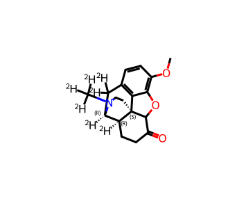 [2H]C([2H])([2H])N1CC[C@]23c4c5ccc(OC)c4OC2C(=O)CC[C@@]3([2H])[C@@]1([2H])C5([2H])[2H]